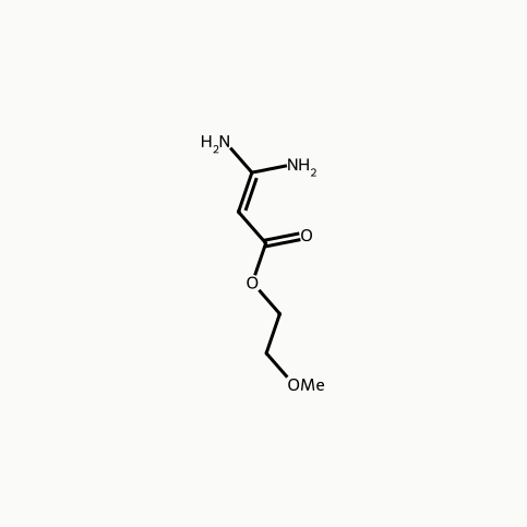 COCCOC(=O)C=C(N)N